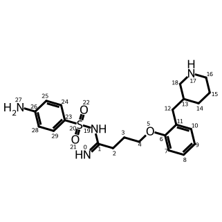 N=C(CCCOc1ccccc1CC1CCCNC1)NS(=O)(=O)c1ccc(N)cc1